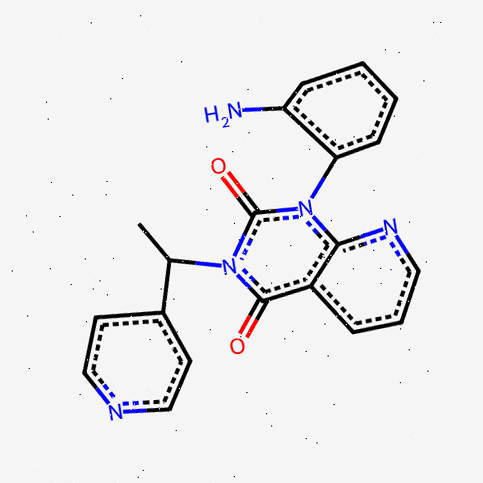 CC(c1ccncc1)n1c(=O)c2cccnc2n(-c2ccccc2N)c1=O